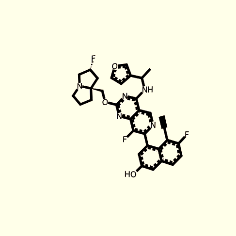 C#Cc1c(F)ccc2cc(O)cc(-c3ncc4c(NC(C)c5ccoc5)nc(OC[C@@]56CCCN5C[C@H](F)C6)nc4c3F)c12